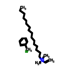 C=C[N+](C)(C)CCCCCCCCCCCCCCCC.Cc1ccccc1.[Br-]